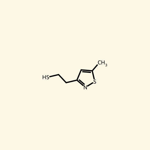 Cc1cc(CCS)ns1